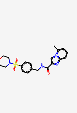 Cc1cccc2nc(C(=O)NCc3ccc(S(=O)(=O)N4CCOCC4)cc3)cn12